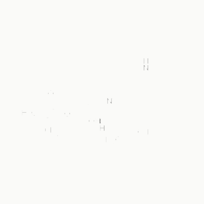 C=C(C)C(=O)OCC(O)CN(c1ccc(Nc2ccccc2)cc1)C(C)CC(C)C